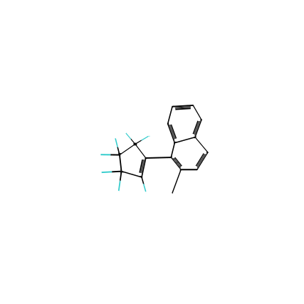 Cc1ccc2ccccc2c1C1=C(F)C(F)(F)C(F)(F)C1(F)F